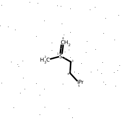 C=S(C)CCC(C)C